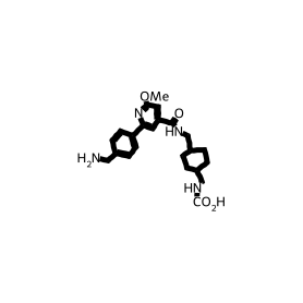 COc1cc(C(=O)NCC2CCC(CNC(=O)O)CC2)cc(-c2ccc(CN)cc2)n1